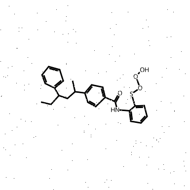 CCC(CC(C)c1ccc(C(=O)Nc2ccccc2SOOO)cc1)c1ccccc1